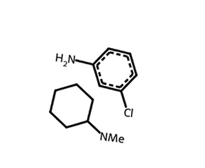 CNC1CCCCC1.Nc1cccc(Cl)c1